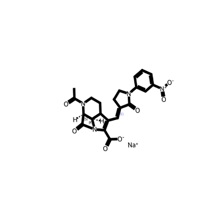 CC(=O)N1CCC2C(/C=C3\CCN(c4cccc([N+](=O)[O-])c4)C3=O)=C(C(=O)[O-])N3C(=O)[C@@H]1[C@@H]23.[Na+]